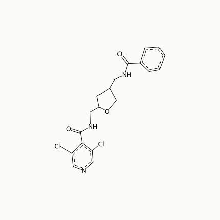 O=C(NCC1COC(CNC(=O)c2c(Cl)cncc2Cl)C1)c1ccccc1